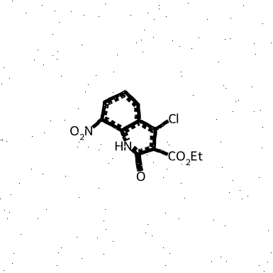 CCOC(=O)c1c(Cl)c2cccc([N+](=O)[O-])c2[nH]c1=O